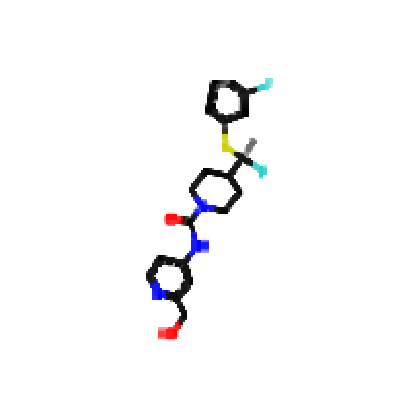 C[C@@](F)(Sc1cccc(F)c1)C1CCN(C(=O)Nc2ccnc(CO)c2)CC1